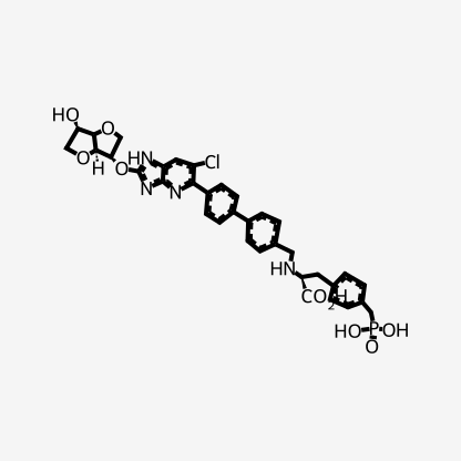 O=C(O)[C@H](Cc1ccc(CP(=O)(O)O)cc1)NCc1ccc(-c2ccc(-c3nc4nc(O[C@@H]5COC6[C@H](O)CO[C@@H]65)[nH]c4cc3Cl)cc2)cc1